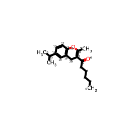 CCCCCC(=O)C1=C(C)Oc2ccc(C(C)C)cc2C1